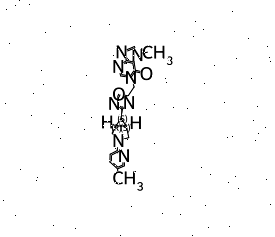 Cc1ccc(N2C[C@@H]3[C@H](C2)[C@@H]3c2noc(Cn3cnc4ncn(C)c4c3=O)n2)nc1